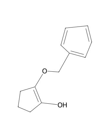 OC1=C(OCc2ccccc2)CCC1